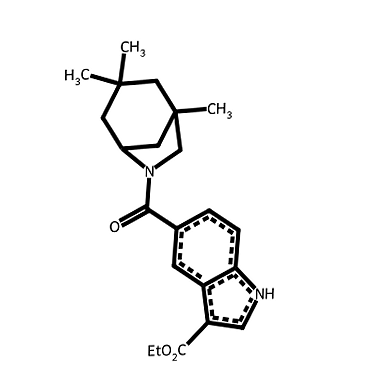 CCOC(=O)c1c[nH]c2ccc(C(=O)N3CC4(C)CC3CC(C)(C)C4)cc12